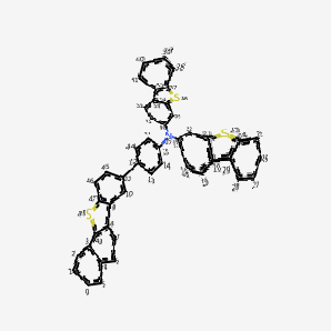 c1ccc2c(c1)ccc1c3cc(-c4ccc(N(c5ccc6c(c5)sc5ccccc56)c5ccc6c(c5)sc5ccccc56)cc4)ccc3sc21